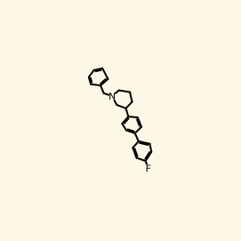 Fc1ccc(-c2ccc(C3CCCN(Cc4ccccc4)C3)cc2)cc1